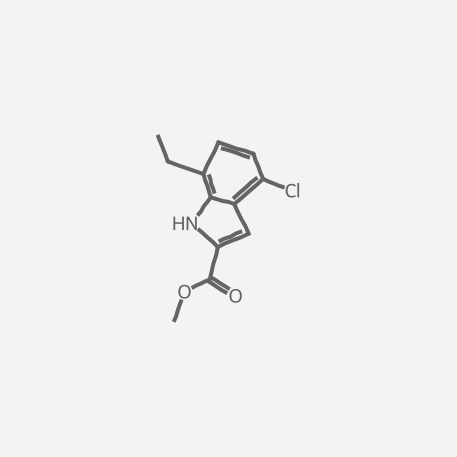 CCc1ccc(Cl)c2cc(C(=O)OC)[nH]c12